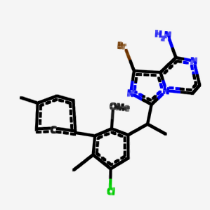 COc1c(C(C)c2nc(Br)c3c(N)nccn23)cc(Cl)c(C)c1-c1ccc(C)cc1